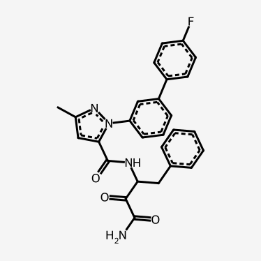 Cc1cc(C(=O)NC(Cc2ccccc2)C(=O)C(N)=O)n(-c2cccc(-c3ccc(F)cc3)c2)n1